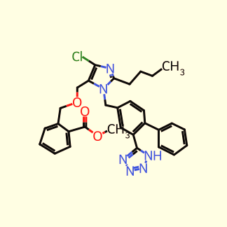 CCCCc1nc(Cl)c(COCc2ccccc2C(=O)OC)n1Cc1ccc(-c2ccccc2)c(-c2nnn[nH]2)c1